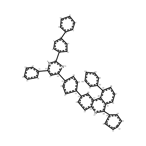 c1ccc(-c2ccc(-c3nc(-c4ccccc4)cc(-c4ccc(-c5ccc6nc(-c7ccccc7)c7cccc(-c8ccccc8)c7c6c5)cc4)n3)cc2)cc1